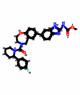 COC(=O)Nc1nc2ccc(-c3ccc4c(c3)CN(C(=O)N3CCCCC3c3ccc(F)cc3)CCO4)cc2[nH]1